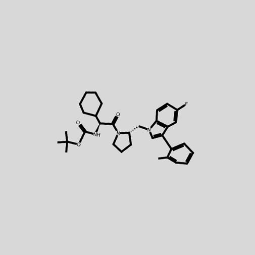 Cc1ccccc1-c1cn(C[C@@H]2CCCN2C(=O)[C@@H](NC(=O)OC(C)(C)C)C2CCCCC2)c2ccc(F)cc12